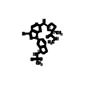 CNC(=O)[C@]1(C)CC[C@@H](Nc2ncc3c(Br)nn(-c4ccc5c(c4)[C@H](NS(C)(=O)=O)CC5)c3n2)C1